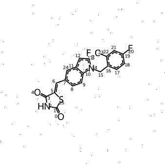 O=C1NC(=O)/C(=C/c2ccc3c(ccn3Cc3ccc(F)cc3C(F)(F)F)c2)S1